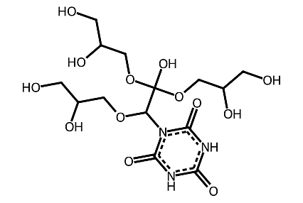 O=c1[nH]c(=O)n(C(OCC(O)CO)C(O)(OCC(O)CO)OCC(O)CO)c(=O)[nH]1